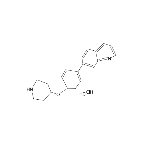 Cl.Cl.c1cnc2cc(-c3ccc(OC4CCNCC4)cc3)ccc2c1